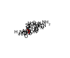 Nc1nc2c(nnn2[C@@]23CS[C@H](COP(=O)(S)O[C@H]4C(c5cnc6c(N)ncnn56)CO[C@@H]4COP(=O)(S)O2)[C@H]3O)c(=O)[nH]1